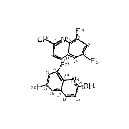 Fc1cc(F)c2nc(Cl)ccc2c1.Oc1ccc2cc(F)cc(F)c2n1